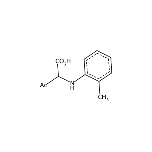 CC(=O)C(Nc1ccccc1C)C(=O)O